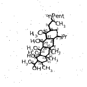 CCCCCC(C)CC1CC(C(C)C)C2CC3(C)CC4(C)CC(C)C(C(C)O)C(O)C4(C)C(C)C3C(O)C2C1C